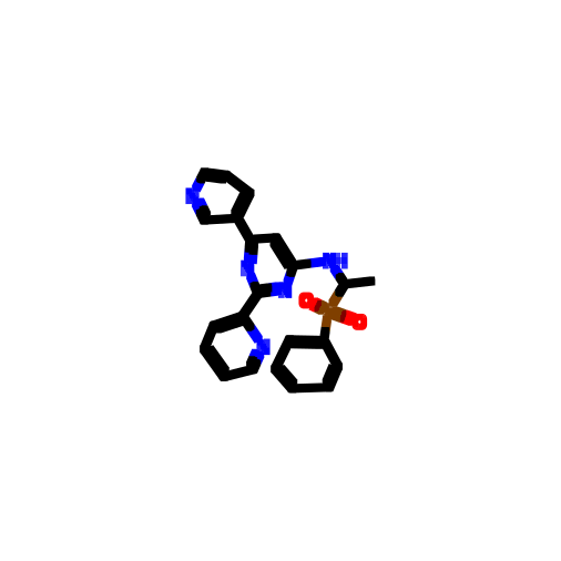 CC(Nc1cc(-c2cccnc2)nc(-c2ccccn2)n1)S(=O)(=O)c1ccccc1